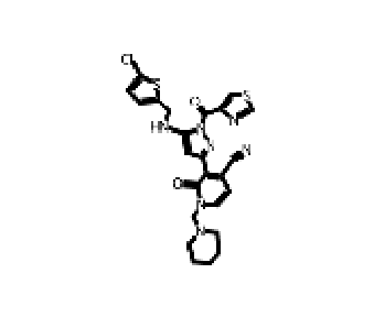 N#Cc1ccn(CN2CCCCC2)c(=O)c1-c1cc(NCc2ccc(Cl)s2)n(C(=O)c2cscn2)n1